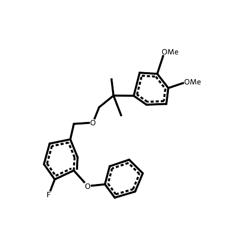 COc1ccc(C(C)(C)COCc2ccc(F)c(Oc3ccccc3)c2)cc1OC